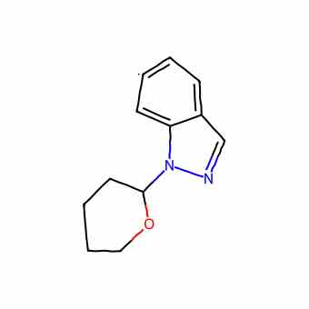 [c]1ccc2cnn(C3CCCCO3)c2c1